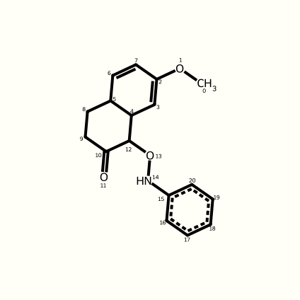 COC1=CC2C(C=C1)CCC(=O)C2ONc1ccccc1